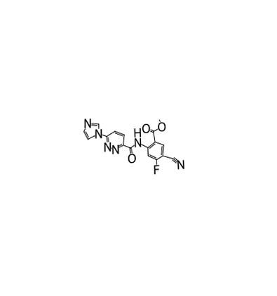 COC(=O)c1cc(C#N)c(F)cc1NC(=O)c1ccc(-n2ccnc2)nn1